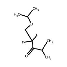 CC(C)OCC(F)(F)C(=O)C(C)C